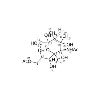 CC(=O)N[C@@]1(O)C(C)(C(O)C(O)COC(C)=O)O[C@](O)(C(=O)O)C(C)(C)C1(C)O